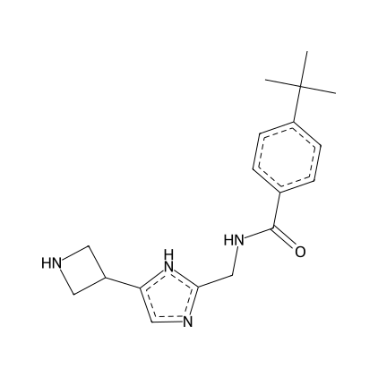 CC(C)(C)c1ccc(C(=O)NCc2ncc(C3CNC3)[nH]2)cc1